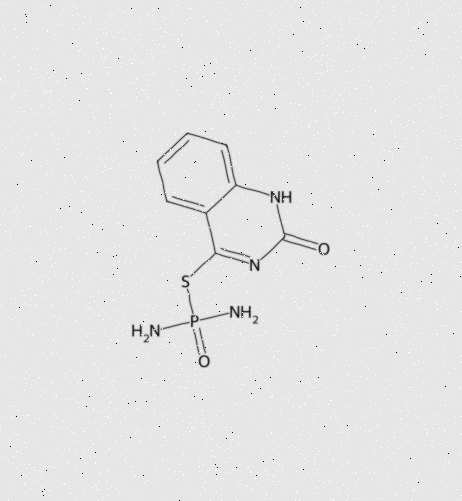 NP(N)(=O)Sc1nc(=O)[nH]c2ccccc12